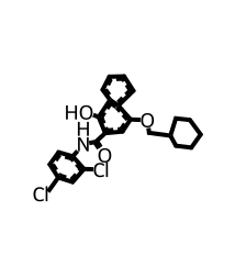 O=C(Nc1ccc(Cl)cc1Cl)c1cc(OCC2CCCCC2)c2ccccc2c1O